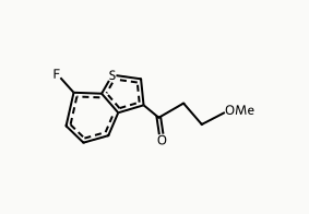 COCCC(=O)c1csc2c(F)cccc12